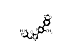 Cc1cc(-n2cnn(C/C(=C/F)CN)c2=O)ncc1-c1ccc2c(c1)OCO2